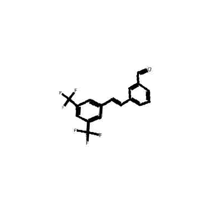 O=Cc1cccc(C=Cc2cc(C(F)(F)F)cc(C(F)(F)F)c2)c1